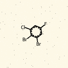 Fc1[c]c(Br)c(Br)c(Cl)c1